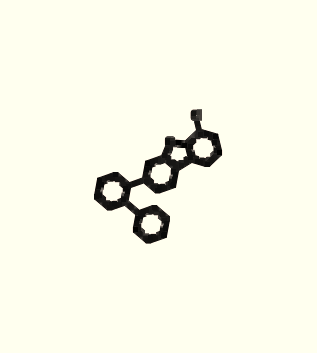 Clc1cccc2c1oc1cc(-c3ccccc3-c3ccccc3)ccc12